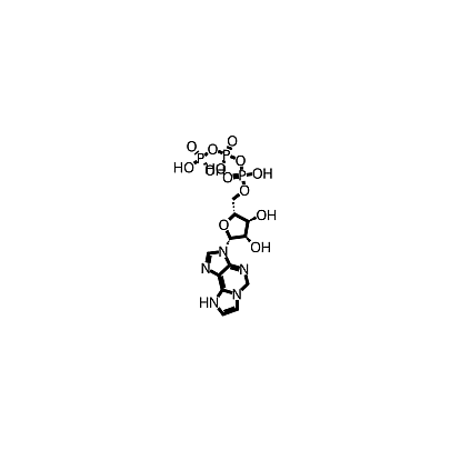 O=P(O)(O)OP(=O)(O)OP(=O)(O)OC[C@H]1O[C@@H](n2cnc3c2=NCN2C=CNC=32)[C@H](O)[C@@H]1O